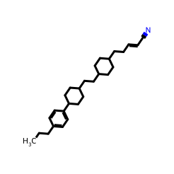 CCCc1ccc(C2CCC(CCC3CCC(CCC=CC#N)CC3)CC2)cc1